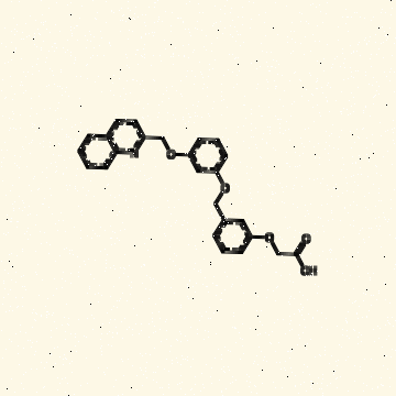 O=C(O)COc1cccc(COc2cccc(OCc3ccc4ccccc4n3)c2)c1